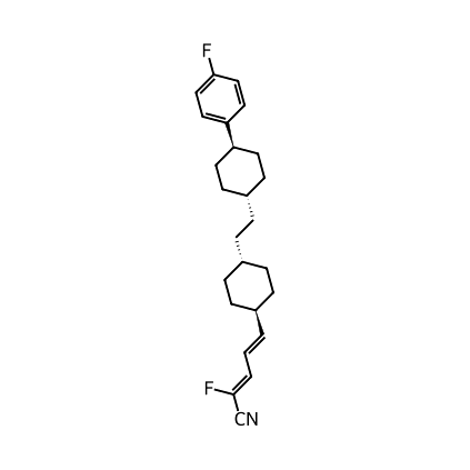 N#C/C(F)=C/C=C/[C@H]1CC[C@H](CC[C@H]2CC[C@H](c3ccc(F)cc3)CC2)CC1